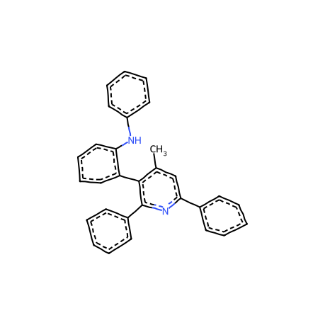 Cc1cc(-c2ccccc2)nc(-c2ccccc2)c1-c1ccccc1Nc1ccccc1